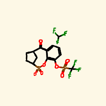 FC(F)F.O=C1c2cccc(OS(=O)(=O)C(F)(F)F)c2OS(=O)(=O)C2CCC1C2